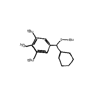 CCCCSC(c1cc(C(C)(C)C)c(O)c(C(C)(C)C)c1)C1CCCCC1